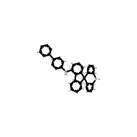 c1ccc(-c2ccc(Nc3cccc4c3-c3ccccc3C43c4ccccc4Oc4ccccc43)cc2)cc1